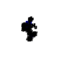 Cc1nc(-c2ccccc2)nc(-c2ccccc2)c1-n1c2ccccc2c2cc(-c3ccc4c(c3)c3ccccc3n4-c3ccccc3)ccc21